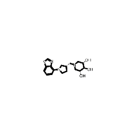 OC1[C@H](O)CN(C[C@@H]2CCN(c3cccc4scnc34)C2)C[C@@H]1O